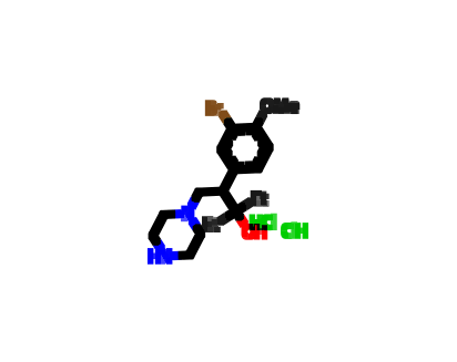 CCC(O)(CC)C(CN1CCNCC1)c1ccc(OC)c(Br)c1.Cl.Cl